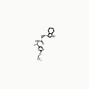 C[C@@H](NC(=O)[C@@H]1C[C@H]1c1c[nH]c2ccccc12)c1cnc(OCC(F)(F)F)s1